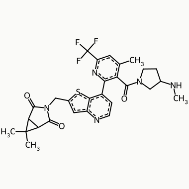 CNC1CCN(C(=O)c2c(C)cc(C(F)(F)F)nc2-c2ccnc3cc(CN4C(=O)C5C(C4=O)C5(C)C)sc23)C1